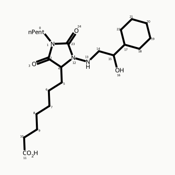 CCCCCN1C(=O)C(CCCCCCC(=O)O)N(NCC(O)C2CCCCC2)C1=O